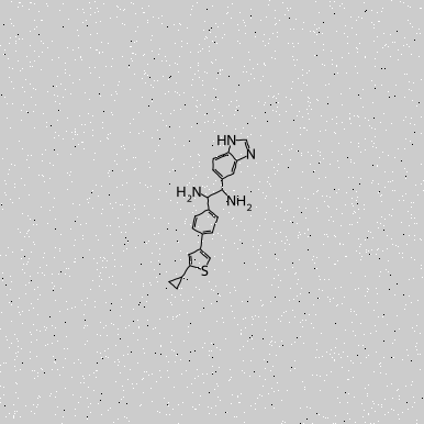 NC(c1ccc(-c2csc(C3CC3)c2)cc1)C(N)c1ccc2[nH]cnc2c1